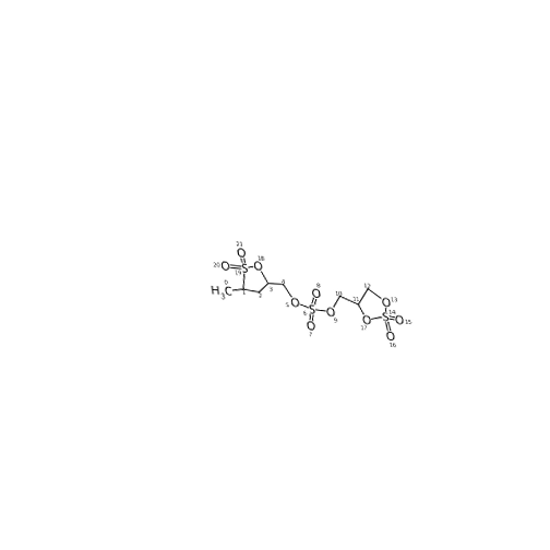 CC1CC(COS(=O)(=O)OCC2COS(=O)(=O)O2)OS1(=O)=O